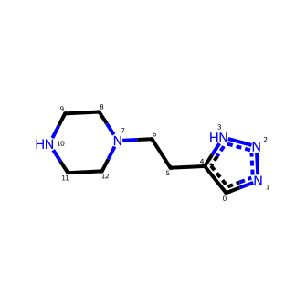 [c]1nn[nH]c1CCN1CCNCC1